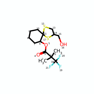 CC(C)(C(=O)OC1CCCCC12SCC(CO)S2)C(F)(F)F